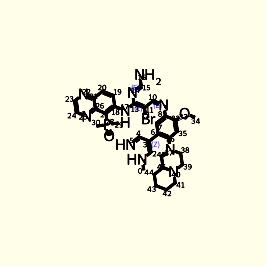 CN/C=C(\C=N)c1cc(\N=C/C(Br)=C(\N=C\N)Nc2ccc3nccnc3c2P(C)(C)=O)c(OC)cc1N1CCN2CCCCC2C1